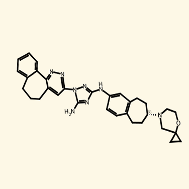 Nc1nc(Nc2ccc3c(c2)CC[C@H](N2CCOC4(CC4)C2)CC3)nn1-c1cc2c(nn1)-c1ccccc1CCC2